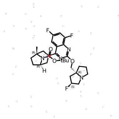 CC(C)(C)OC(=O)N1[C@@H]2CC[C@]1(C)CN(c1nc(OC[C@]34CCCN3C[C@@H](F)C4)nc3c(F)cc(F)cc13)C2